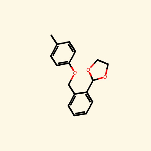 Cc1ccc(OCc2ccccc2C2OCCO2)cc1